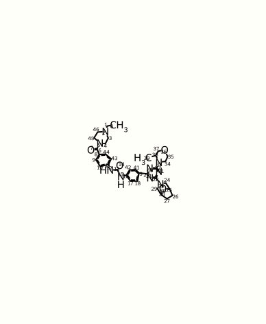 CCN1CCN(C(=O)c2ccc(NC(=O)Nc3ccc(-c4nc(N5CC6CCC(C5)O6)nc(N5CCOCC5C)n4)cc3)cc2)CC1